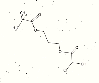 C=C(C)C(=O)OCCCOC(=O)C(O)Cl